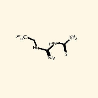 N=C(NCC(F)(F)F)NC(N)=S